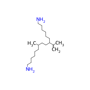 C=C(C)C(CCCCCCN)CCC(C)CCCCCCN